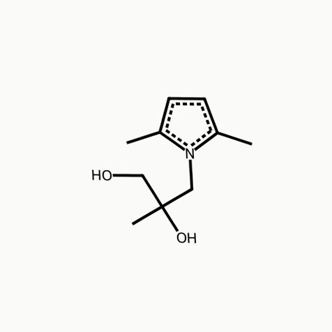 Cc1ccc(C)n1CC(C)(O)CO